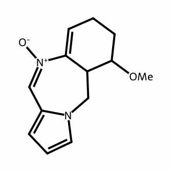 COC1CCC=C2C1Cn1cccc1C=[N+]2[O-]